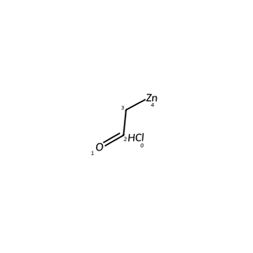 Cl.O=C[CH2][Zn]